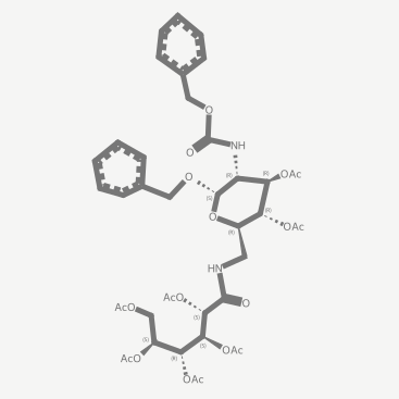 CC(=O)OC[C@H](OC(C)=O)[C@@H](OC(C)=O)[C@H](OC(C)=O)[C@H](OC(C)=O)C(=O)NC[C@H]1O[C@H](OCc2ccccc2)[C@H](NC(=O)OCc2ccccc2)[C@@H](OC(C)=O)[C@@H]1OC(C)=O